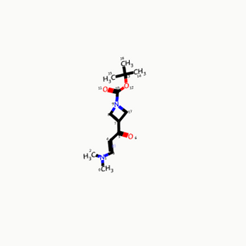 CN(C)/C=C/C(=O)C1CN(C(=O)OC(C)(C)C)C1